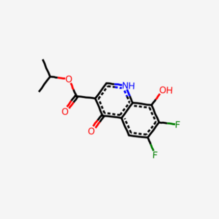 CC(C)OC(=O)c1c[nH]c2c(O)c(F)c(F)cc2c1=O